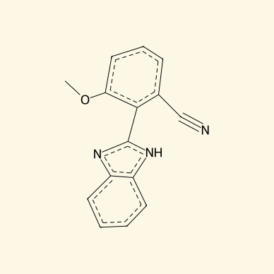 COc1cccc(C#N)c1-c1nc2ccccc2[nH]1